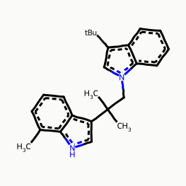 Cc1cccc2c(C(C)(C)Cn3cc(C(C)(C)C)c4ccccc43)c[nH]c12